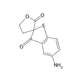 Nc1ccc2c(c1)C(=O)C1(CCOC1=O)S2